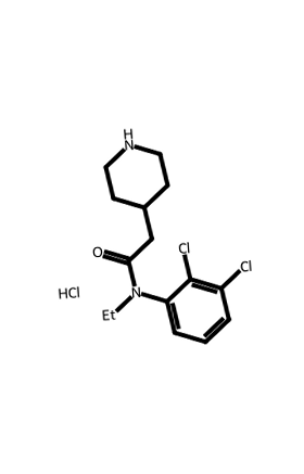 CCN(C(=O)CC1CCNCC1)c1cccc(Cl)c1Cl.Cl